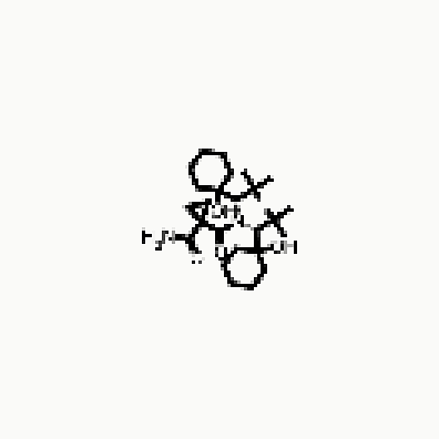 CC(C)(C)[C@@H](N(C(=O)C1(C(N)=O)CC1)[C@H](C(C)(C)C)C1(O)CCCCC1)C1(O)CCCCC1